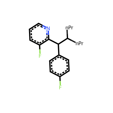 CCCC(CCC)C(c1ccc(F)cc1)c1ncccc1F